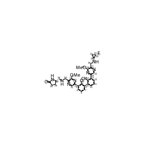 COc1nc(-c2cccc(-c3cccc(-c4cnc(CN[C@@H]5C[C@@H]5F)c(OC)n4)c3Cl)c2Cl)cnc1CNC[C@@H]1CCC(=O)N1